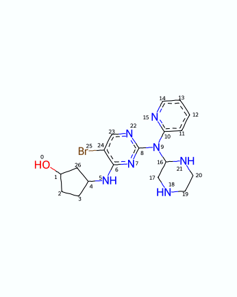 OC1CCC(Nc2nc(N(c3ccccn3)C3CNCCN3)ncc2Br)C1